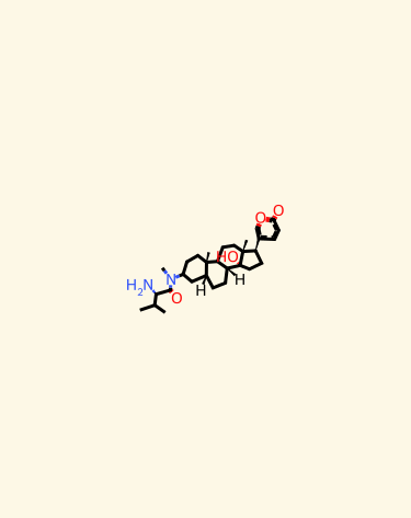 CC(C)[C@@H](N)C(=O)N(C)C1CC[C@]2(C)C3CC[C@]4(C)[C@@H](c5ccc(=O)oc5)CC[C@]4(O)[C@@H]3CC[C@@H]2C1